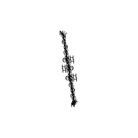 [N-]=[N+]=NCCOCCOCCOCCNC(=O)NCCNC(=O)NCCNC(=O)NCCOCCOCCOCCN=[N+]=[N-]